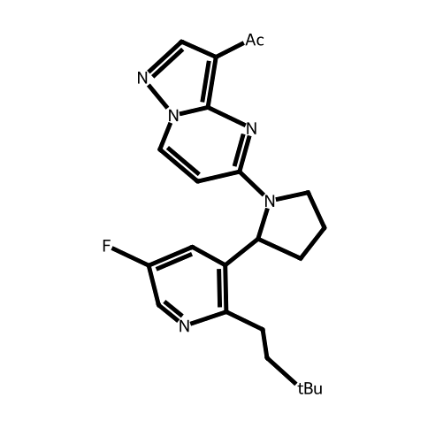 CC(=O)c1cnn2ccc(N3CCCC3c3cc(F)cnc3CCC(C)(C)C)nc12